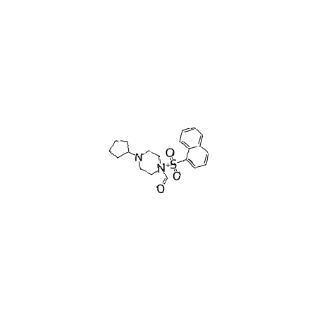 O=C[N+]1(S(=O)(=O)c2cccc3ccccc23)CCN(C2CCCC2)CC1